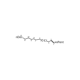 CCCCCC=CCCCCCCCCCCCCCCCCCCC